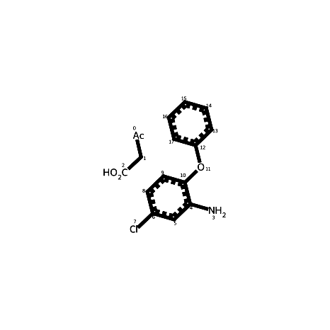 CC(=O)CC(=O)O.Nc1cc(Cl)ccc1Oc1ccccc1